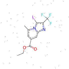 CCOC(=O)c1cc(C)n2c(I)c(C(F)(F)F)nc2c1